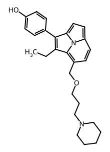 CCc1c(-c2ccc(O)cc2)c2ccc3ccc(COCCCN4CCCCC4)c1n32